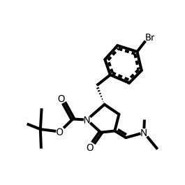 CN(C)/C=C1\C[C@@H](Cc2ccc(Br)cc2)N(C(=O)OC(C)(C)C)C1=O